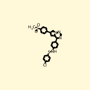 CS(=O)(=O)c1ccc(-c2cc3c(-c4ccc(NSc5ccc(Cl)cc5)cc4)ncnn3c2)cc1